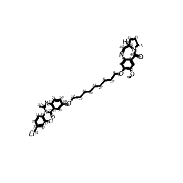 COc1cc2c(cc1OCCCCCCCCCOc1ccc3nc(C)n(-c4ccc(Cl)cc4Cl)c(=O)c3c1)N=C[C@@H]1CCCN1C2=O